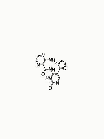 Nc1nccnc1C(=O)Nc1[nH]c(=O)ncc1-c1ccco1